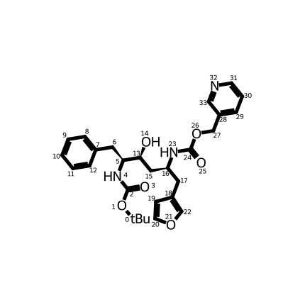 CC(C)(C)OC(=O)N[C@@H](Cc1ccccc1)[C@@H](O)C[C@H](Cc1ccoc1)NC(=O)OCc1cccnc1